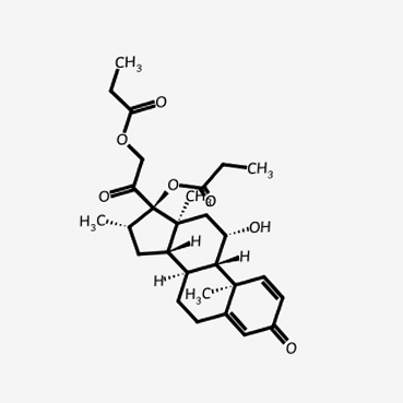 CCC(=O)OCC(=O)[C@@]1(OC(=O)CC)[C@@H](C)C[C@H]2[C@@H]3CCC4=CC(=O)C=C[C@]4(C)[C@H]3[C@@H](O)C[C@@]21C